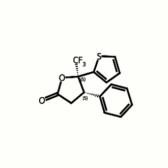 O=C1C[C@@H](c2ccccc2)[C@@](c2cccs2)(C(F)(F)F)O1